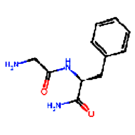 NCC(=O)N[C@@H](Cc1ccccc1)C(N)=O